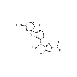 CN(c1ccc(F)c([C@]2(C)COCC(N)=N2)c1)c1nn(C(F)F)cc1Cl